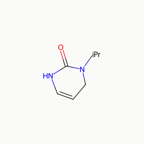 CC(C)N1CC=CNC1=O